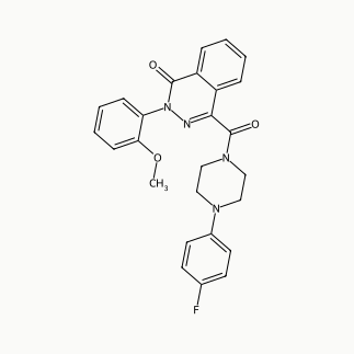 COc1ccccc1-n1nc(C(=O)N2CCN(c3ccc(F)cc3)CC2)c2ccccc2c1=O